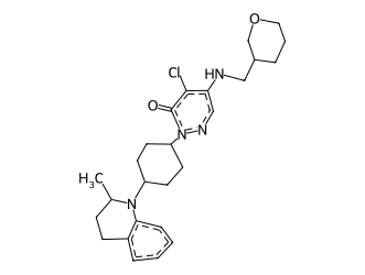 CC1CCc2ccccc2N1C1CCC(n2ncc(NCC3CCCOC3)c(Cl)c2=O)CC1